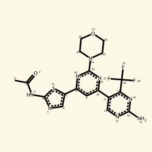 CC(=O)Nc1ncc(-c2cc(-c3cnc(N)nc3C(F)(F)F)nc(N3CCOCC3)n2)s1